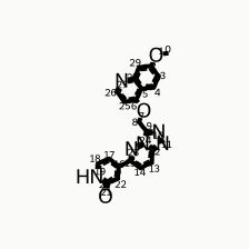 COc1ccc2c(OCc3nnc4ccc(-c5cc[nH]c(=O)c5)nn34)ccnc2c1